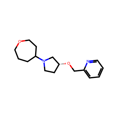 c1ccc(CO[C@@H]2CCN(C3CCCOCC3)C2)nc1